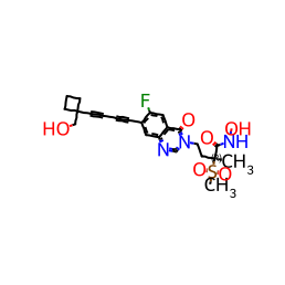 C[C@@](CCn1cnc2cc(C#CC#CC3(CO)CCC3)c(F)cc2c1=O)(C(=O)NO)S(C)(=O)=O